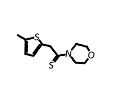 Cc1ccc(CC(=S)N2CCOCC2)s1